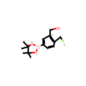 CC1(C)OB(c2ccc(CF)c(CO)c2)OC1(C)C